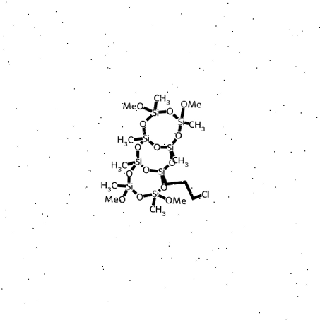 CO[Si]1(C)O[Si](C)(OC)O[Si]2(C)O[Si](C)(O1)O[Si]1(C)O[Si](C)(OC)O[Si](C)(OC)O[Si](CCCCl)(O2)O1